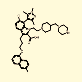 Cc1nn(C)c(C)c1-c1c(Cl)ccc2c(CCCOc3cccc4cc(F)ccc34)c(C(=O)O)n(CCN3CCC(CN4CCNCC4)CC3)c12